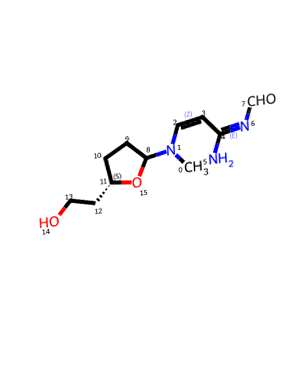 CN(/C=C\C(N)=N/C=O)C1CC[C@@H](CCO)O1